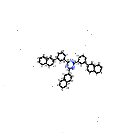 c1cc(-c2ccc3ccccc3c2)cc(-c2nc(-c3cccc(-c4ccc5ccccc5c4)c3)nc(-c3ccc4ccccc4c3)n2)c1